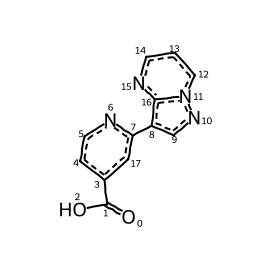 O=C(O)c1ccnc(-c2cnn3cccnc23)c1